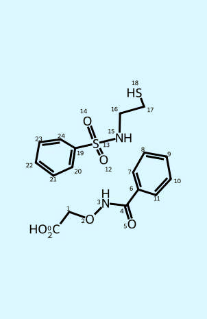 O=C(O)CONC(=O)c1ccccc1.O=S(=O)(NCCS)c1ccccc1